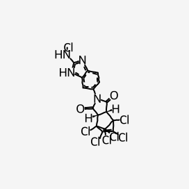 O=C1[C@@H]2[C@H](C(=O)N1c1ccc3nc(NCl)[nH]c3c1)C1(Cl)C(Cl)=C(Cl)C2(Cl)C1(Cl)Cl